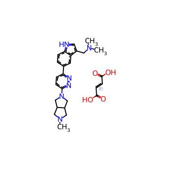 CN(C)Cc1c[nH]c2ccc(-c3ccc(N4CC5CN(C)CC5C4)nn3)cc12.O=C(O)/C=C/C(=O)O